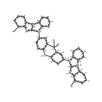 Cc1cccc2c1nc1n(-c3ccc4c(c3)C(C)(C)c3cc(-n5c6ccccc6n6c7cccc(C)c7nc56)ccc3O4)c3ccccc3n21